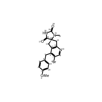 COc1ccc(Cc2c(Br)cnc3c2C[C@@]2(C3)C(=O)NC(=O)N2C)cc1